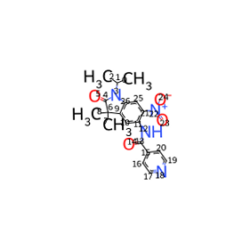 CC(C)N1C(=O)C(C)(C)c2cc(NC(=O)c3ccncc3)c([N+](=O)[O-])cc21